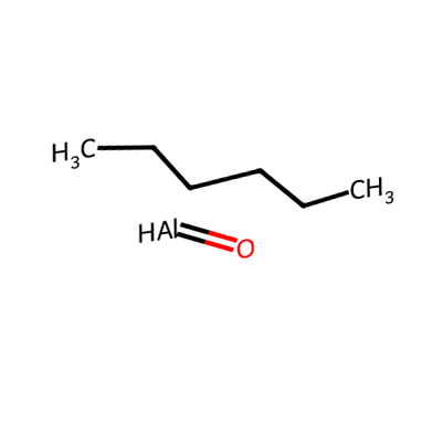 CCCCCC.[O]=[AlH]